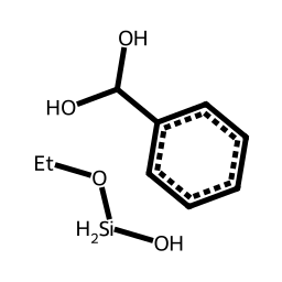 CCO[SiH2]O.OC(O)c1ccccc1